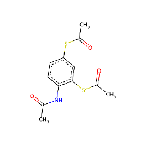 CC(=O)Nc1ccc(SC(C)=O)cc1SC(C)=O